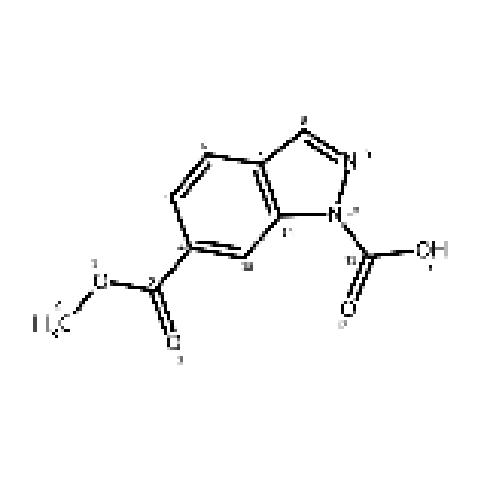 COC(=O)c1ccc2cnn(C(=O)O)c2c1